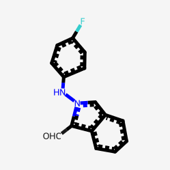 O=Cc1c2ccccc2cn1Nc1ccc(F)cc1